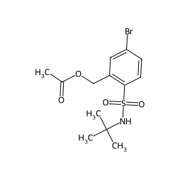 CC(=O)OCc1cc(Br)ccc1S(=O)(=O)NC(C)(C)C